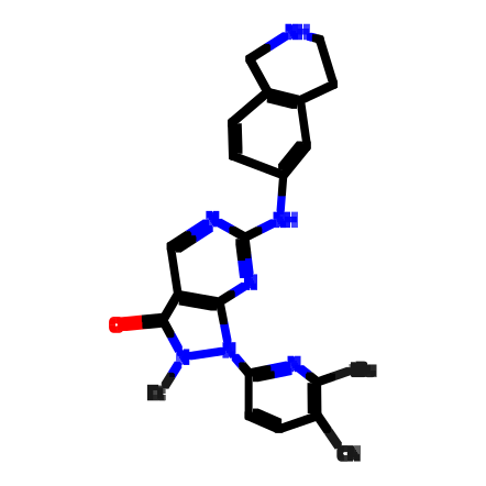 CCn1c(=O)c2cnc(Nc3ccc4c(c3)CCNC4)nc2n1-c1ccc(C#N)c(C(C)(C)C)n1